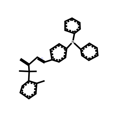 C=C(/C=C/c1ccc(N(c2ccccc2)c2ccccc2)cc1)C(C)(C)c1ccccc1C